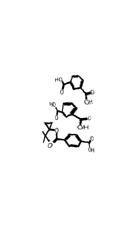 CC(C)(C)C1(OC(=O)c2ccc(C(=O)O)cc2)CC1.O=C(O)c1cccc(C(=O)O)c1.O=C(O)c1cccc(C(=O)O)c1